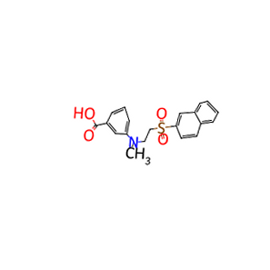 CN(CCS(=O)(=O)c1ccc2ccccc2c1)c1cccc(C(=O)O)c1